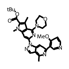 COc1ccncc1-c1cc2c(cnn2-c2cc3c(c(N4CCOCC4)n2)c(C)c(C(=O)OC(C)(C)C)n3C)c(C)n1